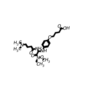 CCN(OC)C(=O)C(NC(=O)CCCN(C)C)Nc1ccc(OCCCC(=O)O)cc1